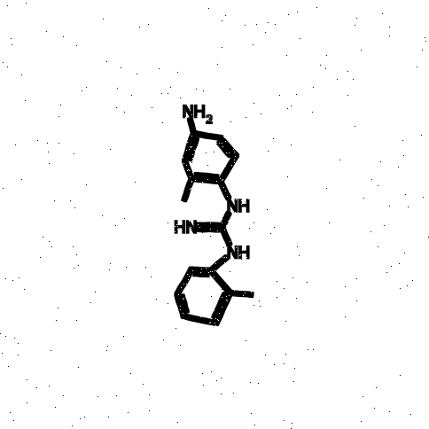 Cc1ccccc1NC(=N)Nc1ccc(N)cc1C